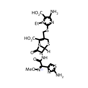 CCn1c(SCC2=C(C(=O)O)N3C(=O)[C@@H](NC(=O)/C(=N\OC)c4csc(N)n4)[C@H]3SC2)nc(N)c1C(=O)O